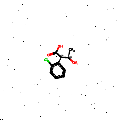 C[C@H](O)[C@@H](C(=O)O)c1ccccc1Cl